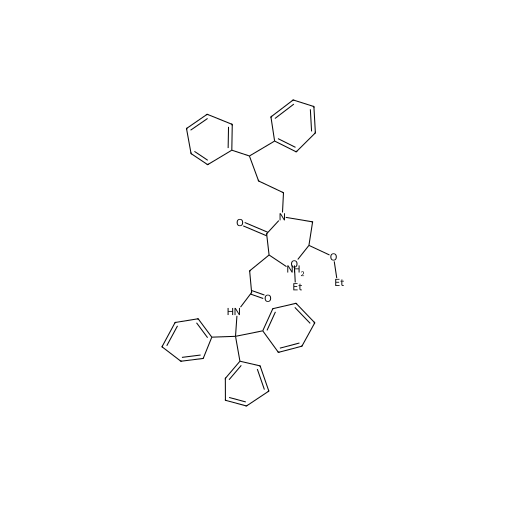 CCOC(CN(CCC(c1ccccc1)c1ccccc1)C(=O)C(N)CC(=O)NC(c1ccccc1)(c1ccccc1)c1ccccc1)OCC